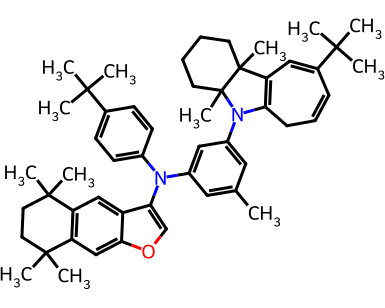 Cc1cc(N(c2ccc(C(C)(C)C)cc2)c2coc3cc4c(cc23)C(C)(C)CCC4(C)C)cc(N2C3=C(C=C(C(C)(C)C)C=CC3)C3(C)CCCCC23C)c1